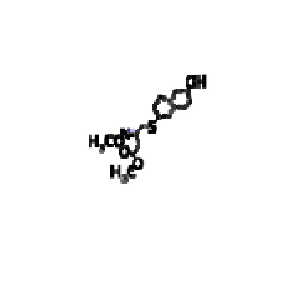 CO/N=C(/CSc1ccc2cc(O)ccc2c1)CC(=O)OC